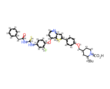 CC(C)(C)C1CC(COc2ccc(-c3cc4nccc(Oc5ccc(NC(=S)NC(=O)Cc6ccccc6)cc5F)c4s3)cc2)CCN1C(=O)O